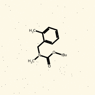 Cc1ccccc1CN(C)C(=O)OC(C)(C)C